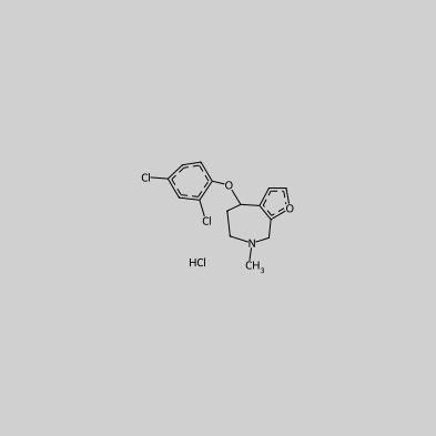 CN1CCC(Oc2ccc(Cl)cc2Cl)c2ccoc2C1.Cl